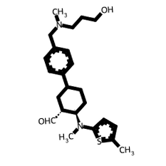 Cc1ccc(N(C)[C@@H]2CCC(c3ccc(CN(C)CCCO)cc3)C[C@H]2C=O)s1